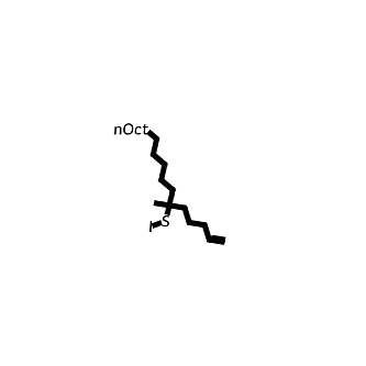 C=CCCCC(C)(CCCCCCCCCCCCC)SI